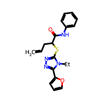 C=CCC(Sc1nnc(-c2ccco2)n1CC)C(=O)Nc1ccccc1